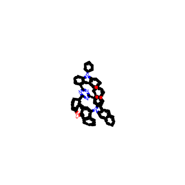 c1ccc(-c2nc(-c3cccc4oc5c6ccccc6c(-n6c7cc8ccccc8cc7c7cc8ccccc8cc76)cc5c34)nc(-c3cccc4c3c3ccccc3n4-c3ccccc3)n2)cc1